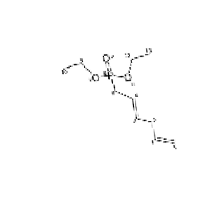 C=CC/C=C/CP(=O)(OCC)OCC